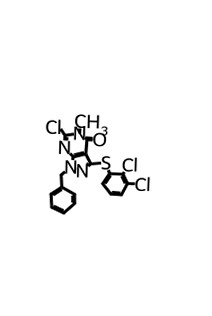 Cn1c(Cl)nc2c(c(Sc3cccc(Cl)c3Cl)nn2Cc2ccccc2)c1=O